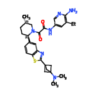 CCc1cc(NC(=O)C(=O)N2C[C@@H](C)CC[C@@H]2c2ccc3sc(C45CC(N(C)C)(C4)C5)nc3c2)cnc1N